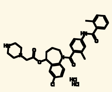 Cc1ccccc1C(=O)Nc1ccc(C(=O)N2CCCC(OC(=O)CN3CCNCC3)c3cc(Cl)ccc32)c(C)c1.Cl.Cl